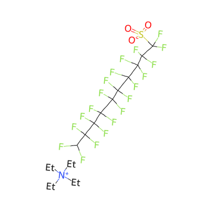 CC[N+](CC)(CC)CC.O=S(=O)([O-])C(F)(F)C(F)(F)C(F)(F)C(F)(F)C(F)(F)C(F)(F)C(F)(F)C(F)(F)C(F)(F)C(F)F